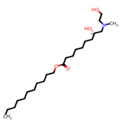 CCCCCCCCCCCOC(=O)CCCCCC[C@H](O)CN(C)CCO